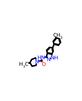 Cc1cccc(-c2ccc3c(NC(=O)N4CCC(C)CC4)n[nH]c3c2)c1